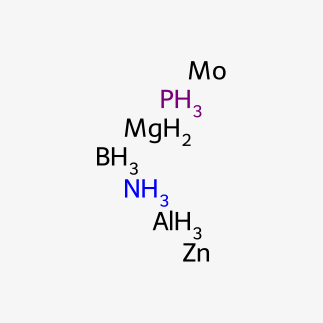 B.N.P.[AlH3].[MgH2].[Mo].[Zn]